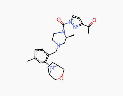 CC(=O)c1ccn(C(=O)N2CCN(Cc3ccc(C)cc3N3C4CCC3COC4)C[C@@H]2C)n1